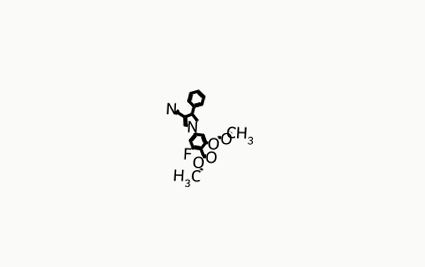 CCOC(=O)c1c(F)cc(N2C=C(C#N)C(c3ccccc3)C2)cc1OCOC